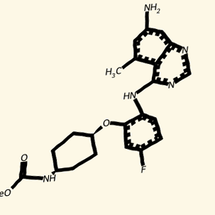 COC(=O)N[C@H]1CC[C@@H](Oc2cc(F)ccc2Nc2ncnc3cc(N)cc(C)c23)CC1